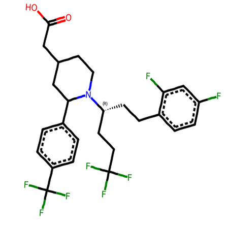 O=C(O)CC1CCN([C@H](CCc2ccc(F)cc2F)CCC(F)(F)F)C(c2ccc(C(F)(F)F)cc2)C1